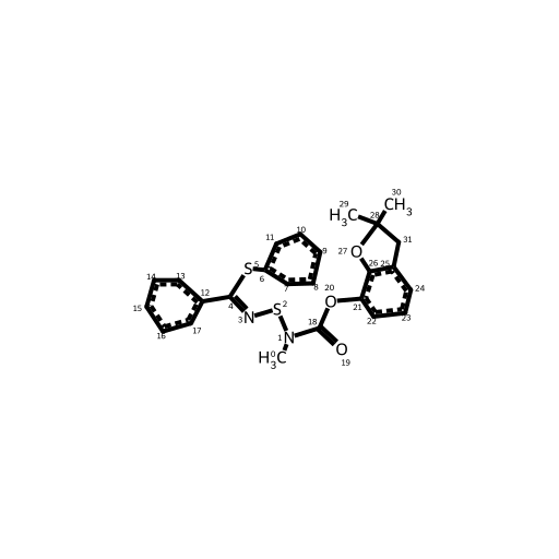 CN(SN=C(Sc1ccccc1)c1ccccc1)C(=O)Oc1cccc2c1OC(C)(C)C2